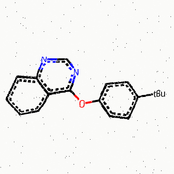 CC(C)(C)c1ccc(Oc2ncnc3ccccc23)cc1